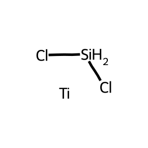 Cl[SiH2]Cl.[Ti]